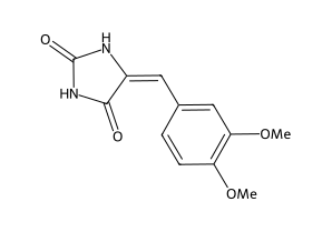 COc1ccc(/C=C2/NC(=O)NC2=O)cc1OC